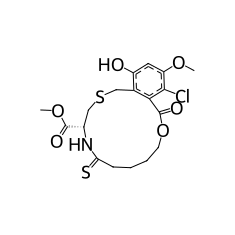 COC(=O)[C@@H]1CSCc2c(O)cc(OC)c(Cl)c2C(=O)OCCCCC(=S)N1